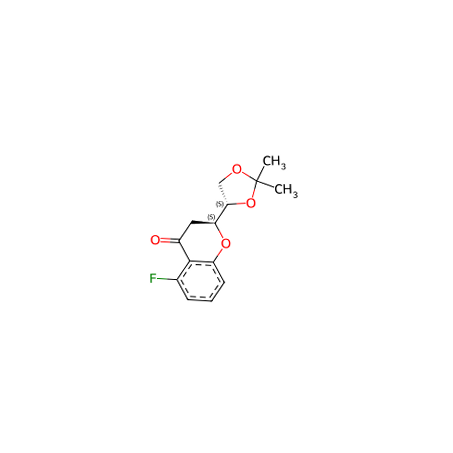 CC1(C)OC[C@@H]([C@@H]2CC(=O)c3c(F)cccc3O2)O1